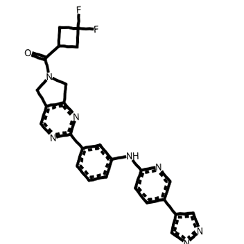 O=C(C1CC(F)(F)C1)N1Cc2cnc(-c3cccc(Nc4ccc(-c5cn[nH]c5)cn4)c3)nc2C1